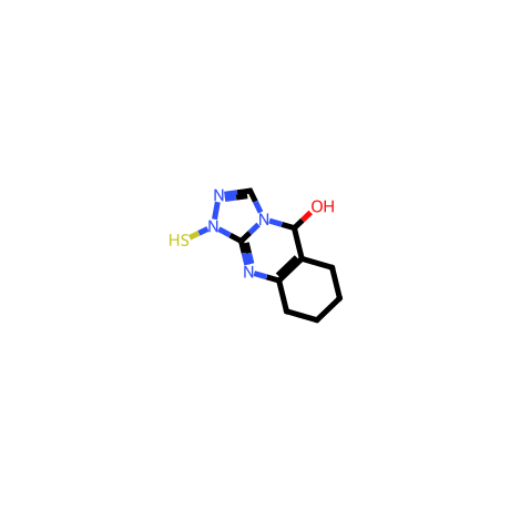 OC1C2=C(CCCC2)N=C2N(S)N=CN21